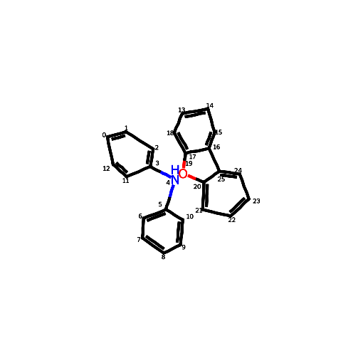 c1ccc(Nc2ccccc2)cc1.c1ccc2c(c1)oc1ccccc12